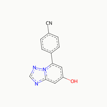 N#Cc1ccc(-c2cc(O)cc3ncnn23)cc1